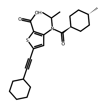 CC(C)N(c1cc(C#CC2CCCCC2)sc1C(=O)O)C(=O)[C@H]1CC[C@H](C)CC1